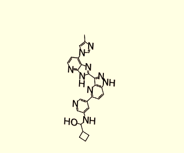 Cc1cn(-c2ccnc3[nH]c(-c4n[nH]c5ccc(-c6cncc(NC(O)C7CCC7)c6)nc45)nc23)cn1